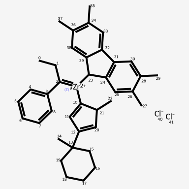 CC/[C](c1ccccc1)=[Zr+2](/[C]1=CC(C2(C)CCCCC2)=CC1C)[CH]1c2cc(C)c(C)cc2-c2cc(C)c(C)cc21.[Cl-].[Cl-]